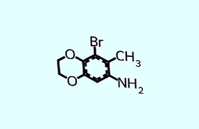 Cc1c(N)cc2c(c1Br)OCCO2